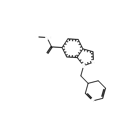 O=C(NO)c1ccc2cnn(CC3C=NC=CC3)c2c1